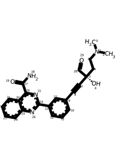 CN(C)CC[C@@](O)(C#Cc1cccc(-c2nc(C(N)=O)c3ccccc3n2)c1)C=O